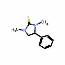 CN1CC(c2ccccc2)N(C)C1=S